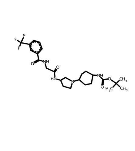 CC(C)(C)OC(=O)NC1CCC(N2CCC(NC(=O)CNC(=O)c3cccc(C(F)(F)F)c3)C2)CC1